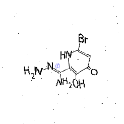 N/N=C(\N)c1[nH]c(Br)cc(=O)c1O